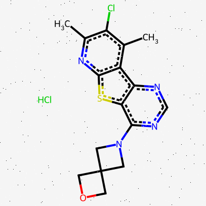 Cc1nc2sc3c(N4CC5(COC5)C4)ncnc3c2c(C)c1Cl.Cl